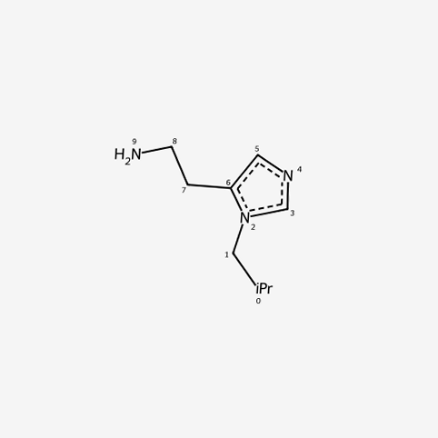 CC(C)Cn1cncc1CCN